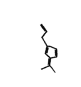 C=CCC1=CC(=C(C)C)C=C1